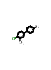 CCc1ccc(-c2ccc(Cl)c(C(F)(F)F)c2)cc1